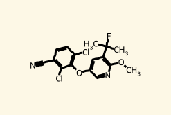 COc1ncc(Oc2c(Cl)ccc(C#N)c2Cl)cc1C(C)(C)F